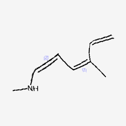 C=C/C(C)=C\C=C/NC